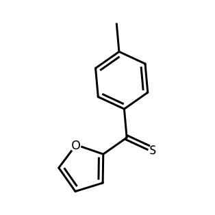 Cc1ccc(C(=S)c2ccco2)cc1